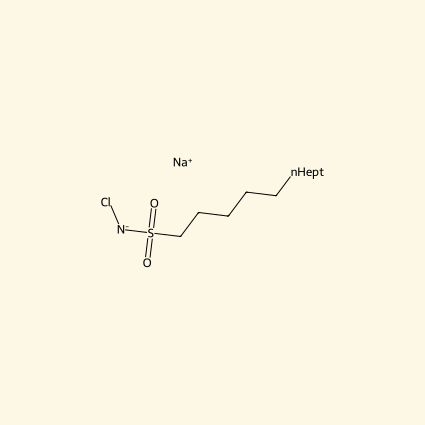 CCCCCCCCCCCCS(=O)(=O)[N-]Cl.[Na+]